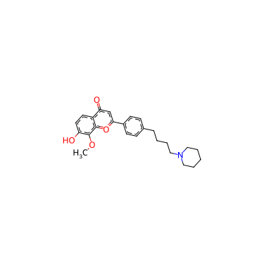 COc1c(O)ccc2c(=O)cc(-c3ccc(CCCCN4CCCCC4)cc3)oc12